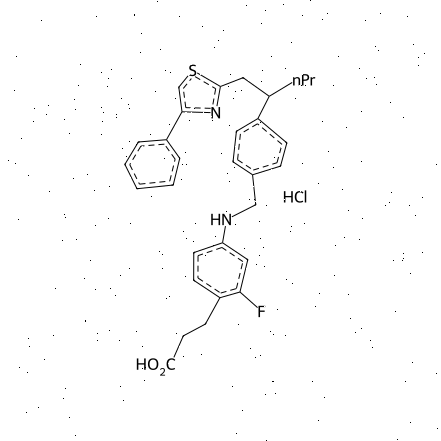 CCCC(Cc1nc(-c2ccccc2)cs1)c1ccc(CNc2ccc(CCC(=O)O)c(F)c2)cc1.Cl